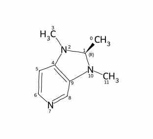 C[C@@H]1N(C)c2ccncc2N1C